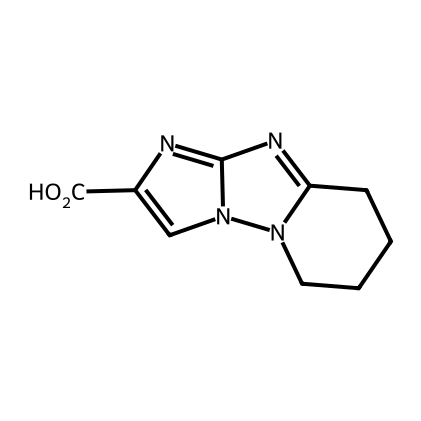 O=C(O)c1cn2c(n1)nc1n2CCCC1